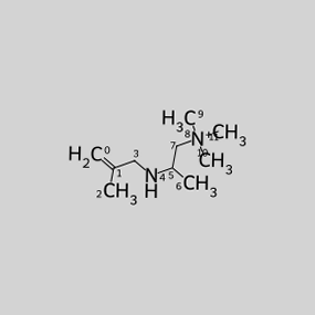 C=C(C)CNC(C)C[N+](C)(C)C